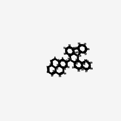 C1=CC2=CCc3cc(N4c5cccc6c5B(c5ccccc5-6)c5c4ccc4cccnc54)cc4c3C2C(=C1)C=C4